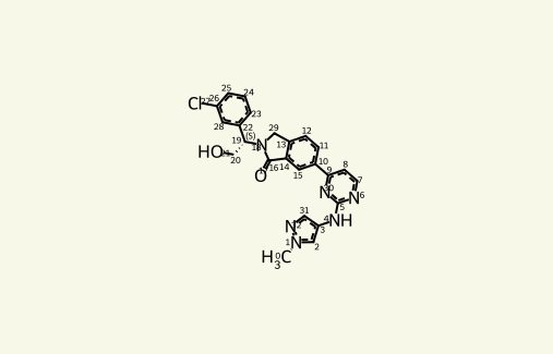 Cn1cc(Nc2nccc(-c3ccc4c(c3)C(=O)N([C@H](CO)c3cccc(Cl)c3)C4)n2)cn1